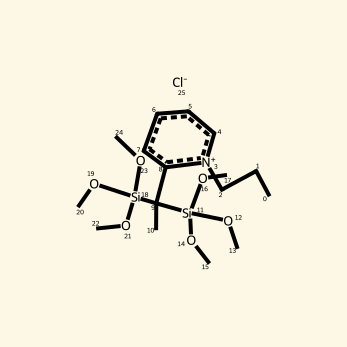 CCC[n+]1ccccc1C(C)([Si](OC)(OC)OC)[Si](OC)(OC)OC.[Cl-]